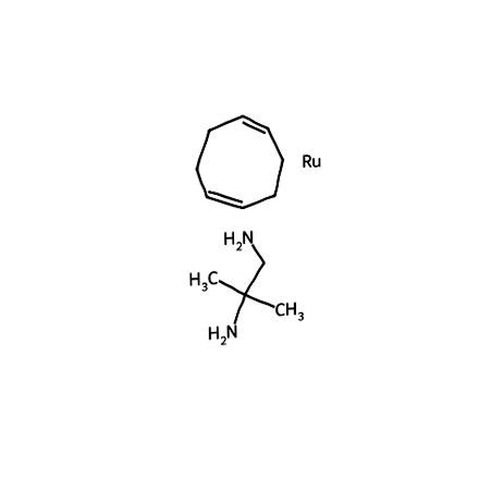 C1=CCCC=CCC1.CC(C)(N)CN.[Ru]